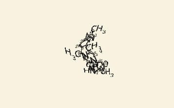 Cc1cnc2cc(C(C)N3C[C@H](C)N(c4cc(=O)n(C)c5c[nH]nc45)C[C@H]3C)ccc2n1